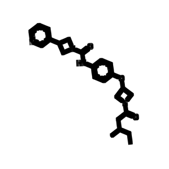 CCC(C)CC(=O)N1CC(Oc2ccc(NC(=O)N3CC(c4cccnc4)C3)cc2)C1